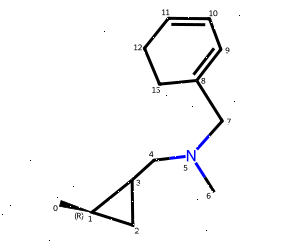 C[C@@H]1CC1CN(C)CC1=CC=CCC1